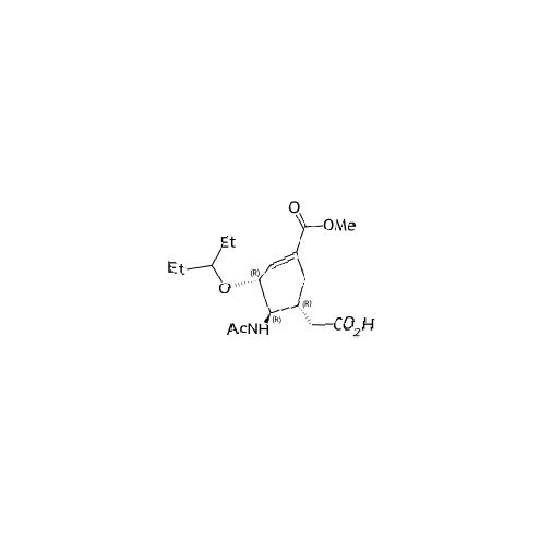 CCC(CC)O[C@@H]1C=C(C(=O)OC)C[C@H](CC(=O)O)[C@H]1NC(C)=O